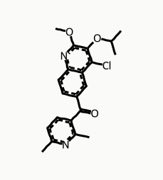 COc1nc2ccc(C(=O)c3ccc(C)nc3C)cc2c(Cl)c1OC(C)C